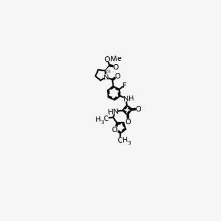 COC(=O)[C@@H]1CCCN1C(=O)c1cccc(Nc2c(NC(C)c3ccc(C)o3)c(=O)c2=O)c1F